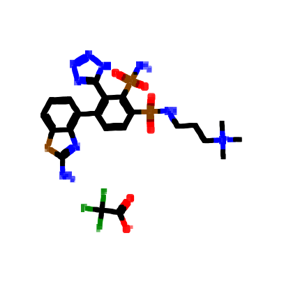 C[N+](C)(C)CCCNS(=O)(=O)c1ccc(-c2cccc3sc(N)nc23)c(-c2nnn[nH]2)c1S(N)(=O)=O.O=C([O-])C(F)(F)F